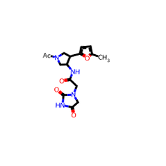 CC(=O)N1CC(NC(=O)CN2CC(=O)NC2=O)C(c2ccc(C)o2)C1